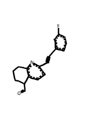 O=CC1CCCc2nc(C#Cc3cccc(F)c3)ccc21